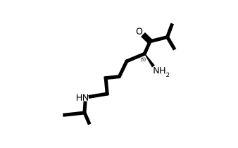 CC(C)NCCCC[C@H](N)C(=O)C(C)C